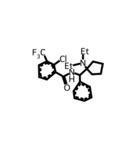 CCN(CC)C1(C(NC(=O)c2cccc(C(F)(F)F)c2Cl)c2ccccc2)CCCC1